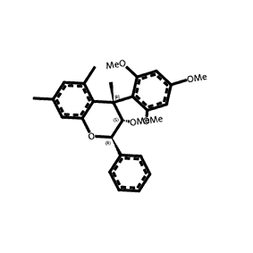 COc1cc(OC)c([C@@]2(C)c3c(C)cc(C)cc3O[C@H](c3ccccc3)[C@H]2OC)c(OC)c1